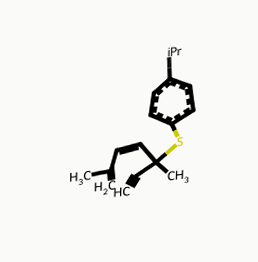 C#CC(C)(/C=C\C(=C)C)Sc1ccc(C(C)C)cc1